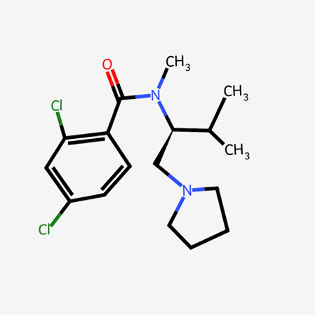 CC(C)[C@@H](CN1CCCC1)N(C)C(=O)c1ccc(Cl)cc1Cl